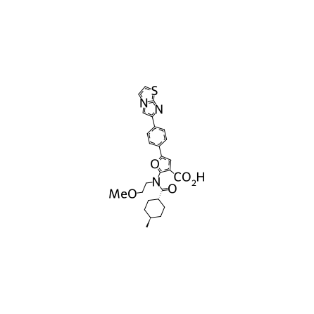 COCCN(c1oc(-c2ccc(-c3cn4ccsc4n3)cc2)cc1C(=O)O)C(=O)[C@H]1CC[C@H](C)CC1